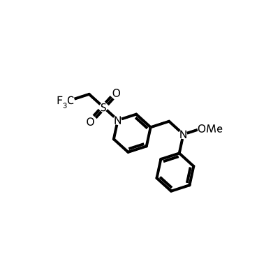 CON(CC1=CN(S(=O)(=O)CC(F)(F)F)CC=C1)c1ccccc1